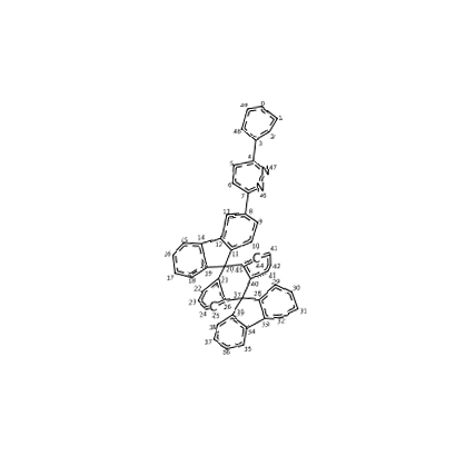 c1ccc(-c2ccc(-c3ccc4c(c3)-c3ccccc3C43c4ccccc4C4(c5ccccc5-c5ccccc54)c4ccccc43)nn2)cc1